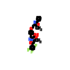 C/C(=C/C(=O)c1cc(F)c(F)cc1F)NC(Cc1ccc(OCCc2nc(-c3ccccc3)oc2C)cc1)C(=O)O